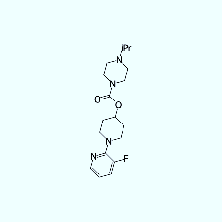 CC(C)N1CCN(C(=O)OC2CCN(c3ncccc3F)CC2)CC1